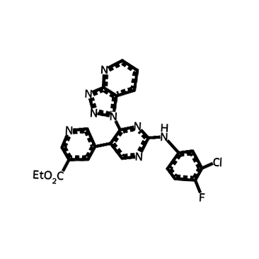 CCOC(=O)c1cncc(-c2cnc(Nc3ccc(F)c(Cl)c3)nc2-n2nnc3ncccc32)c1